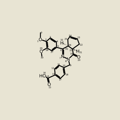 COc1ccc(C2=NN(Cc3ccc(C(=O)O)cc3)C(=O)[C@@H]3CC=CC[C@H]23)cc1OC